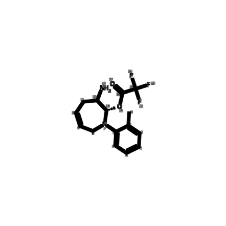 Cc1ccccc1N1CC=CCC(N)[C@@H]1OC(=O)C(F)(F)F